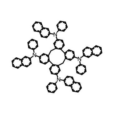 c1ccc(N(c2ccc3c(c2)Cc2cc(N(c4ccccc4)c4ccc5ccccc5c4)ccc2-c2ccc(N(c4ccccc4)c4ccc5ccccc5c4)cc2Cc2cc(N(c4ccccc4)c4ccc5ccccc5c4)ccc2-3)c2ccc3ccccc3c2)cc1